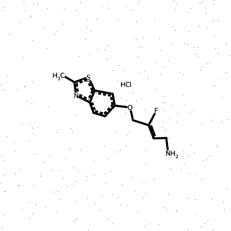 Cc1nc2ccc(OCC(F)=CCN)cc2s1.Cl